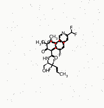 C/C=C/C(F)(F)[C@@H](CO)NC(=O)/C(=C/C(=N\C)c1ccc(C(F)F)nc1)C(=O)C(C)C(C)c1cccc(F)c1